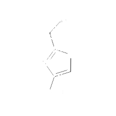 CC(C)Cc1nc(C(=O)O)co1